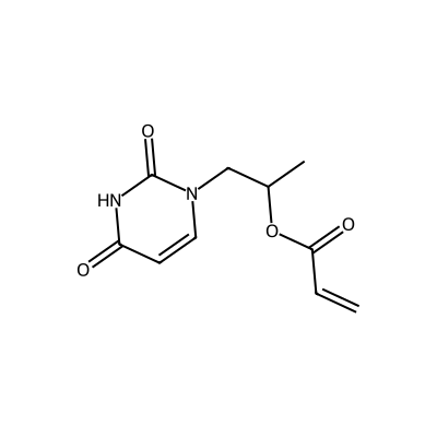 C=CC(=O)OC(C)Cn1ccc(=O)[nH]c1=O